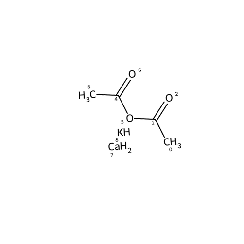 CC(=O)OC(C)=O.[CaH2].[KH]